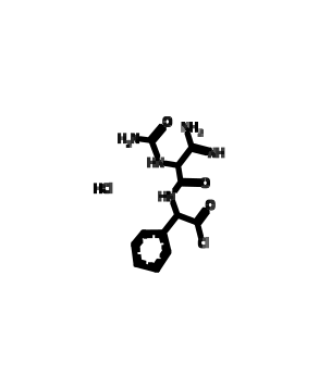 Cl.N=C(N)C(NC(N)=O)C(=O)NC(C(=O)Cl)c1ccccc1